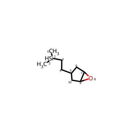 C[SiH](C)CCC1CC2OC2C1